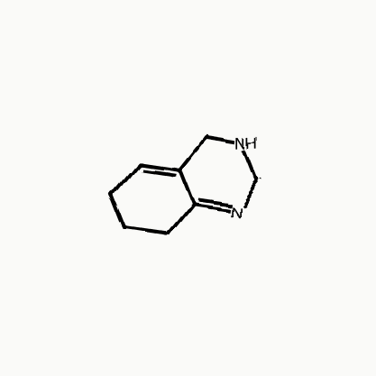 [CH]1N=C2CCCC=C2CN1